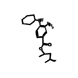 CC(C)CC(C)OC(=O)c1ccc(NC2CCCCC2)c(N)c1